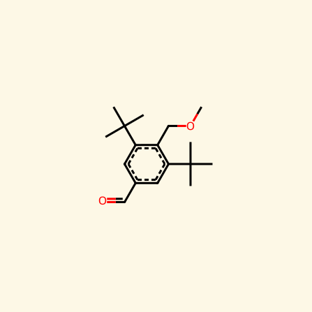 COCc1c(C(C)(C)C)cc(C=O)cc1C(C)(C)C